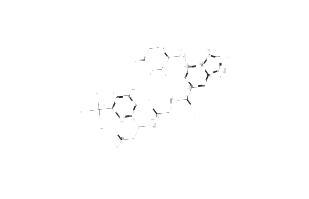 Cc1cc(C(CC(=O)O)NC(=O)CNC(=O)c2cc(NC3=NCC(F)CN3)c3cn[nH]c3c2)cc(C(F)(F)F)c1